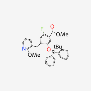 COC(=O)c1cc(O[Si](c2ccccc2)(c2ccccc2)C(C)(C)C)c(Cc2cccnc2OC)cc1F